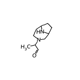 CC(C=O)N1CCC2CCC(C1)N2